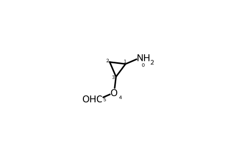 NC1CC1OC=O